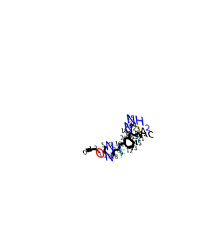 C#CCOc1cnc(/C(F)=C/c2ccc(F)c([C@]3(C)C[C@](C)(C(C)=O)SC(N)=N3)c2)cn1